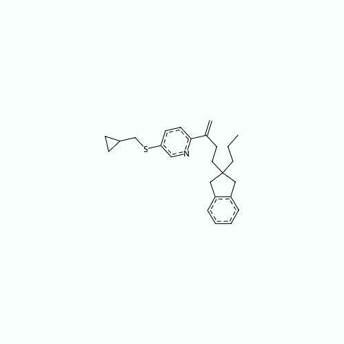 C=C(CCC1(CCC)Cc2ccccc2C1)c1ccc(SCC2CC2)cn1